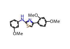 COc1cccc(Nc2nc(-c3ccc(OC)cc3OC)cs2)c1